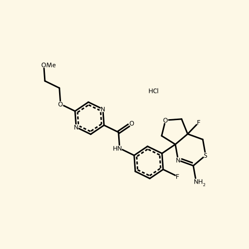 COCCOc1cnc(C(=O)Nc2ccc(F)c(C34COCC3(F)CSC(N)=N4)c2)cn1.Cl